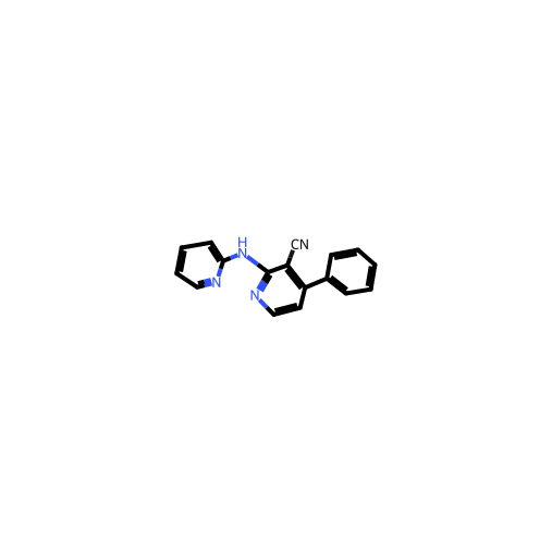 N#Cc1c(-c2ccccc2)ccnc1Nc1ccccn1